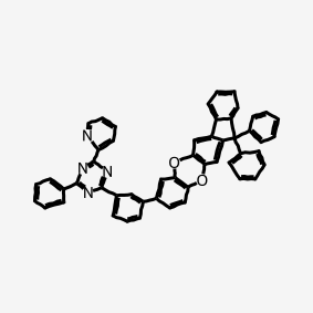 c1ccc(-c2nc(-c3cccc(-c4ccc5c(c4)Oc4cc6c(cc4O5)C(c4ccccc4)(c4ccccc4)c4ccccc4-6)c3)nc(-c3ccccn3)n2)cc1